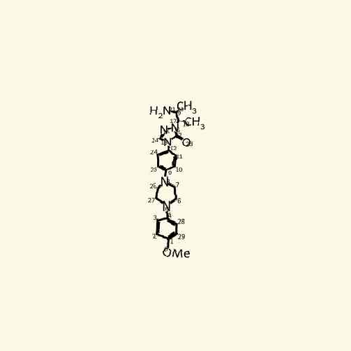 COc1ccc(N2CCN(c3ccc(-n4cnn([C@H](C)[C@H](C)N)c4=O)cc3)CC2)cc1